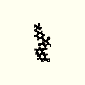 CC1C(=O)N(c2ccc(SC(F)(F)F)cc2)C(=O)N1Cc1ccnc2ccc(Cl)cc12